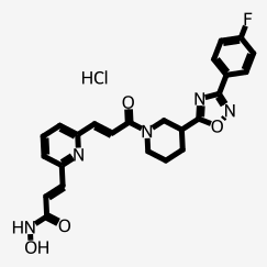 Cl.O=C(C=Cc1cccc(C=CC(=O)N2CCCC(c3nc(-c4ccc(F)cc4)no3)C2)n1)NO